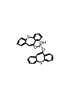 OP(OC1=Cc2ccccc2Sc2ccccc21)OC1=Cc2ccccc2Sc2ccccc21